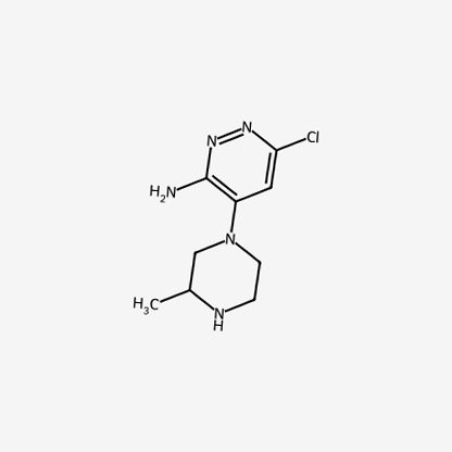 CC1CN(c2cc(Cl)nnc2N)CCN1